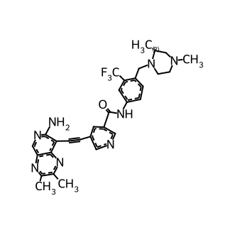 Cc1nc2cnc(N)c(C#Cc3cncc(C(=O)Nc4ccc(CN5CCN(C)C[C@H]5C)c(C(F)(F)F)c4)c3)c2nc1C